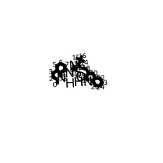 Cc1ccc2cccc(Nc3nc(C(C)(C)C)c(Cc4cc5ccccc5[nH]c4=O)s3)c2n1